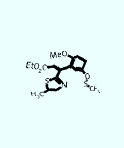 CCOC(=O)CC(c1ncc(C)s1)c1cc(OSC(F)(F)F)ccc1OC